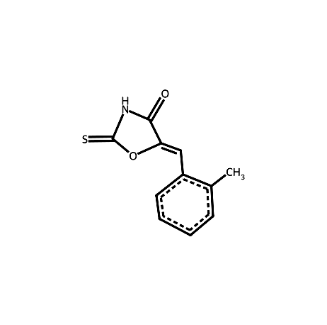 Cc1ccccc1/C=C1\OC(=S)NC1=O